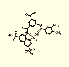 Cc1ccc(C(=O)Nc2cc(C(=O)O)cc(C(=O)Nc3cc(S(=O)(=O)O)cc4cc(S(=O)(=O)O)cc(S(=O)(=O)O)c34)c2)cc1N